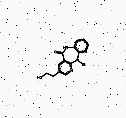 CCN1c2ncccc2NC(=O)c2cc(CCO)cnc21